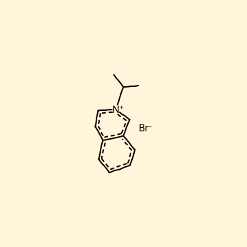 CC(C)[n+]1ccc2ccccc2c1.[Br-]